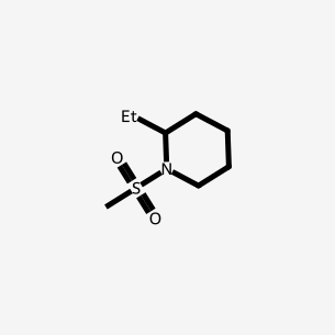 CCC1CCCCN1S(C)(=O)=O